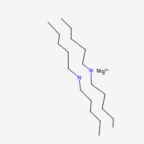 CCCCC[N-]CCCCC.CCCCC[N-]CCCCC.[Mg+2]